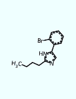 CCCCc1ncc(-c2ccccc2Br)[nH]1